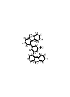 Brc1cc(-c2cccc3oc4ccccc4c23)cc(-c2cccc3oc4ccccc4c23)c1